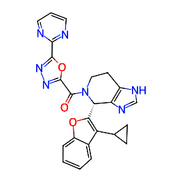 O=C(c1nnc(-c2ncccn2)o1)N1CCc2[nH]cnc2[C@@H]1c1oc2ccccc2c1C1CC1